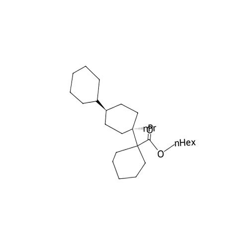 CCCCCCOC(=O)C1([C@]2(CCC)CC[C@H](C3CCCCC3)CC2)CCCCC1